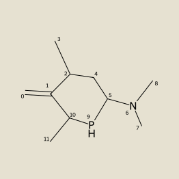 C=C1C(C)CC(N(C)C)PC1C